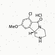 COc1cc(Cl)c2c(c1)[C@H]1CNCCN1C2=O.Cl